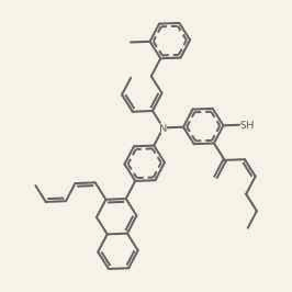 C=C(/C=C\CCC)c1cc(N(C(/C=C\C)=C/Cc2ccccc2C)c2ccc(C3=C(/C=C\C=C/C)CC4C=CC=CC4=C3)cc2)ccc1S